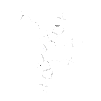 CC1(CCCCCC(=O)O)C(/C=C/C=C2\N(CCCS(=O)(=O)O)c3ccc(S(=O)(=O)O)cc3C2(C)C)=[N+](CCCS(=O)(=O)O)c2ccc(S(=O)(=O)O)cc21